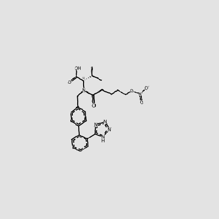 CC(C)[C@@H](C(=O)O)N(Cc1ccc(-c2ccccc2-c2nnn[nH]2)cc1)C(=O)CCCCO[N+](=O)[O-]